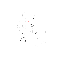 C=CC1O[C@H]2CC3OC[C@@]3(OC(C)=O)[C@H]3[C@H](OC(=O)c4ccccc4)[C@]4(O)C[C@H](OC(=O)[C@H](O)[C@H](CC(C)C)NC(=O)OC(C)(C)C)C(C)=C([C@H](OC(C)=O)[C@H](O1)[C@]23C)C4(C)C